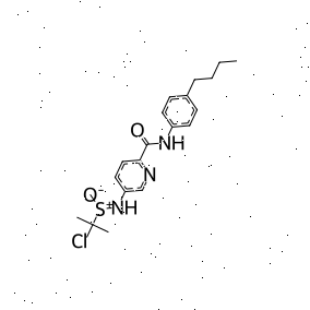 CCCCc1ccc(NC(=O)c2ccc(N[S+]([O-])C(C)(C)Cl)cn2)cc1